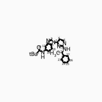 C[C@H](Nc1nccc(-n2cnc3cc(NC(=O)C(C)(C)C)ccc32)n1)c1ccccc1